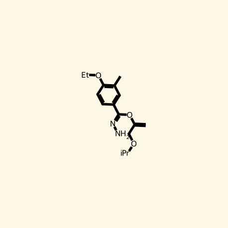 C=C(COC(C)C)O/C(=N\N)c1ccc(OCC)c(C)c1